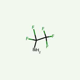 FC(F)(F)[C](F)(F)[BiH2]